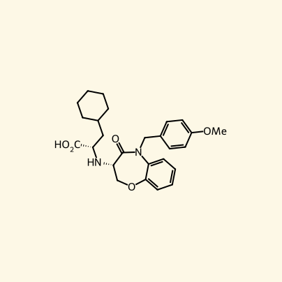 COc1ccc(CN2C(=O)[C@@H](N[C@@H](CC3CCCCC3)C(=O)O)COc3ccccc32)cc1